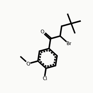 COc1cc(C(=O)C(Br)CC(C)(C)C)ccc1Cl